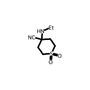 CCNC1(C#N)CCS(=O)(=O)CC1